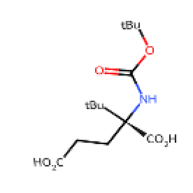 CC(C)(C)OC(=O)N[C@@](CCC(=O)O)(C(=O)O)C(C)(C)C